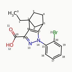 CCC12CCC(C1)c1c2c(C(=O)O)nn1-c1ccccc1Br